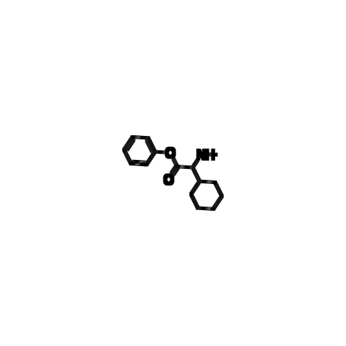 [NH]C(C(=O)Oc1ccccc1)C1CCCCC1